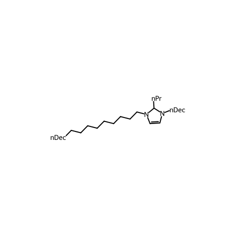 CCCCCCCCCCCCCCCCCCCN1C=CN(CCCCCCCCCC)C1CCC